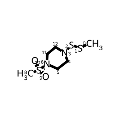 CSSN1CCN(S(C)(=O)=O)CC1